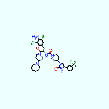 Nc1c(Br)cc(C[C@@H](NC(=O)N2CCC(n3cc(-c4cccc(C(F)(F)F)c4)[nH]c3=O)CC2)C(=O)N2CCC(N3CCCCCC3)CC2)cc1Br